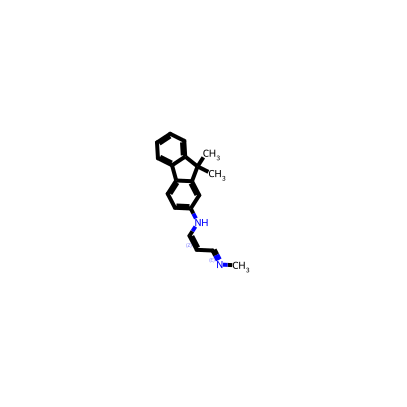 C/N=C/C=C\Nc1ccc2c(c1)C(C)(C)c1ccccc1-2